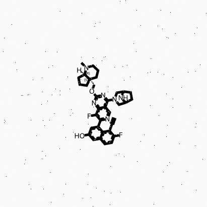 C#Cc1c(F)ccc2cc(O)cc(-c3ncc4c(N5CC6CCC(C5)N6)nc(OC[C@]56CCC[C@H]5N(C)CCC6)nc4c3F)c12